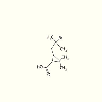 CC(C)(Br)CC1C(C(=O)O)C1(C)C